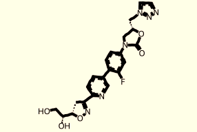 O=C1O[C@@H](Cn2ccnn2)CN1c1ccc(-c2ccc(C3=NO[C@H]([C@H](O)CO)C3)nc2)c(F)c1